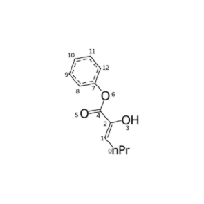 CCCC=C(O)C(=O)Oc1ccccc1